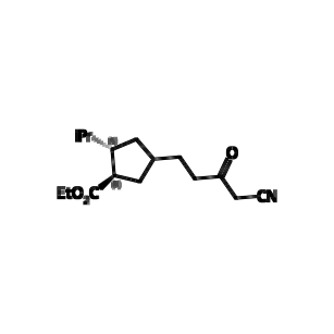 CCOC(=O)[C@@H]1CC(CCC(=O)CC#N)C[C@H]1C(C)C